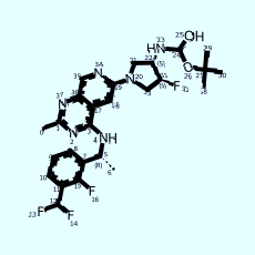 Cc1nc(N[C@H](C)c2cccc(C(F)F)c2F)c2cc(N3C[C@H](NC(O)OC(C)(C)C)[C@@H](F)C3)ncc2n1